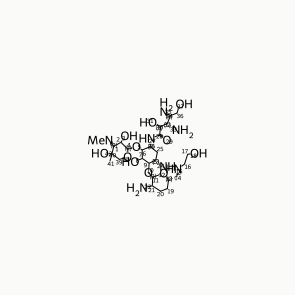 CN[C@@H]1C(O)[C@@H](OC2C(O)C(O[C@H]3O[C@H](CNCCO)CCC3N)[C@@H](N)C[C@H]2NC(=O)[C@@H](O)[C@@H](N)[C@@H](N)CO)OCC1(C)O